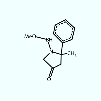 COBN1CC(=O)CC1(C)c1ccccc1